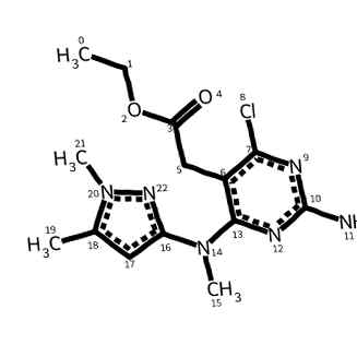 CCOC(=O)Cc1c(Cl)nc(N)nc1N(C)c1cc(C)n(C)n1